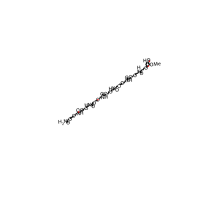 COc1cc(OCCCC(=O)NCCOCCOCC(=O)NCCOCCOCC(=O)NCCOCCOCC(=O)NCCOCCOCC(=O)NCCOCCOCC(=O)NCCOCCOCC(N)=O)ccc1CO